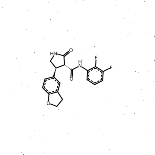 O=C1NC[C@H](c2ccc3c(c2)CCO3)[C@H]1C(=O)Nc1cccc(F)c1F